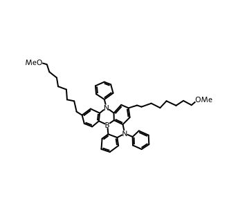 COCCCCCCCCc1ccc2c(c1)N(c1ccccc1)c1cc(CCCCCCCCOC)cc3c1B2c1ccccc1N3c1ccccc1